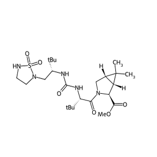 COC(=O)[C@@H]1[C@@H]2[C@H](CN1C(=O)[C@@H](NC(=O)N[C@H](CN1CCNS1(=O)=O)C(C)(C)C)C(C)(C)C)C2(C)C